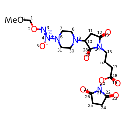 COCO/N=[N+](\[O-])N1CCN(C2CC(=O)N(CCCC(=O)ON3C(=O)CCC3=O)C2=O)CC1